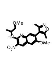 COCC(C)Nc1nc2cc(-c3c(C)noc3C)c(OC)cc2cc1[N+](=O)[O-]